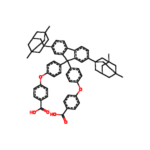 CC12CC3CC(C)(C1)CC(c1ccc4c(c1)C(c1ccc(Oc5ccc(C(=O)O)cc5)cc1)(c1ccc(Oc5ccc(C(=O)O)cc5)cc1)c1cc(C56CC7CC(C)(CC(C)(C7)C5)C6)ccc1-4)(C3)C2